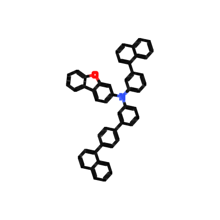 c1cc(-c2ccc(-c3cccc4ccccc34)cc2)cc(N(c2cccc(-c3cccc4ccccc34)c2)c2ccc3c(c2)oc2ccccc23)c1